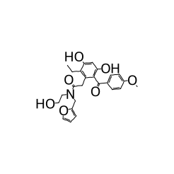 CCc1c(O)cc(O)c(C(=O)c2ccc(OC)cc2)c1CC(=O)N(CCO)Cc1ccco1